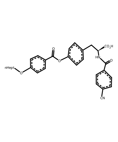 CCCCCCCOc1ccc(C(=O)Oc2ccc(C[C@H](NC(=O)c3ccc(C#N)cc3)C(=O)O)cc2)cc1